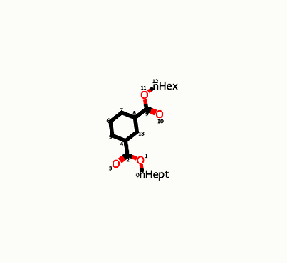 CCCCCCCOC(=O)C1CCCC(C(=O)OCCCCCC)C1